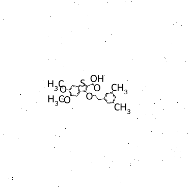 COc1cc2sc(C(=O)O)c(OCCc3cc(C)cc(C)c3)c2cc1OC